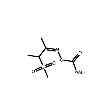 CNC(=O)ON=C(C)C(C)S(C)(=O)=O